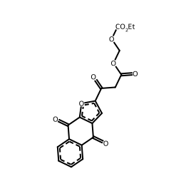 CCOC(=O)OCOC(=O)CC(=O)c1cc2c(o1)C(=O)c1ccccc1C2=O